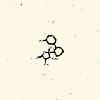 CC1(c2ccccc2-c2cncc(Cl)c2)OC(=O)C(O)=C1O